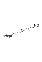 CCCCCCCCOCCOCCOCCN=O